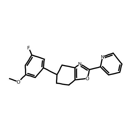 COc1cc(F)cc(C2CCc3oc(-c4ccccn4)nc3C2)c1